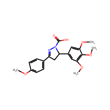 COc1ccc(C2=NN(C(=O)O)C(c3cc(OC)c(OC)c(OC)c3)C2)cc1